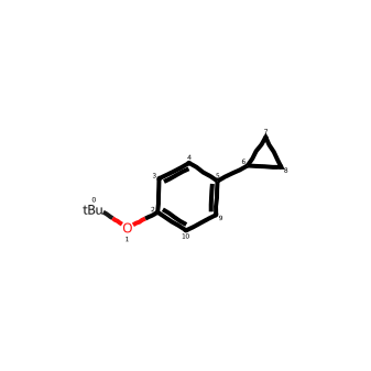 CC(C)(C)Oc1ccc(C2CC2)cc1